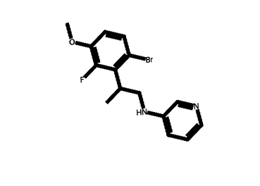 COc1ccc(Br)c(C(C)CNc2cccnc2)c1F